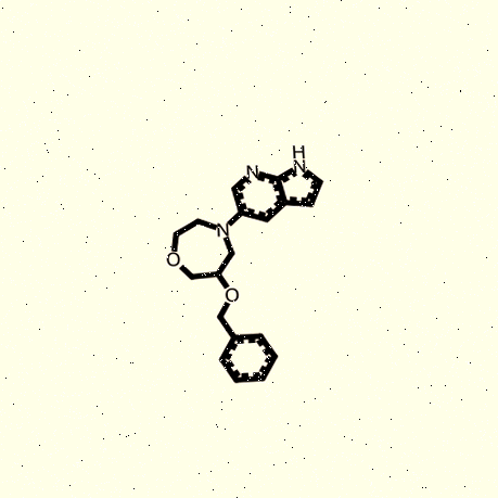 c1ccc(COC2COCCN(c3cnc4[nH]ccc4c3)C2)cc1